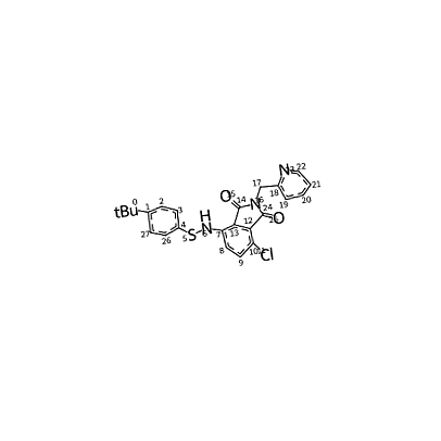 CC(C)(C)c1ccc(SNc2ccc(Cl)c3c2C(=O)N(Cc2ccccn2)C3=O)cc1